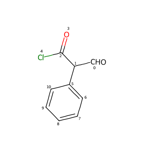 O=CC(C(=O)Cl)c1ccccc1